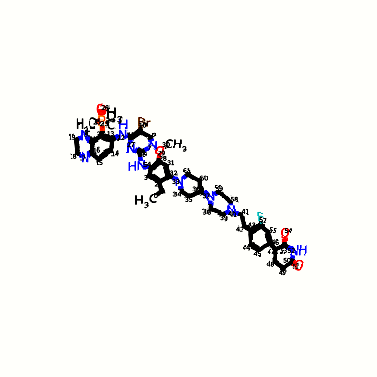 CCc1cc(Nc2ncc(Br)c(Nc3ccc4nccnc4c3P(C)(C)=O)n2)c(OC)cc1N1CCC(N2CCN(CCc3ccc(C4CCC(=O)NC4=O)cc3F)CC2)CC1